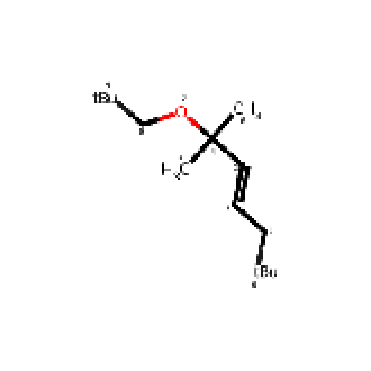 CC(C)(C)C/C=C/C(C)(C)OCC(C)(C)C